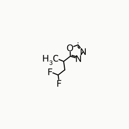 CC(CC(F)F)c1nn[c]o1